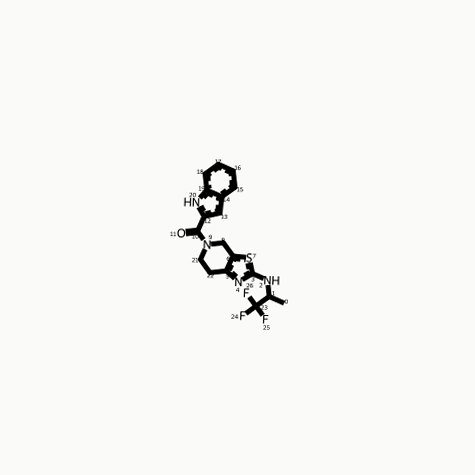 CC(Nc1nc2c(s1)CN(C(=O)c1cc3ccccc3[nH]1)CC2)C(F)(F)F